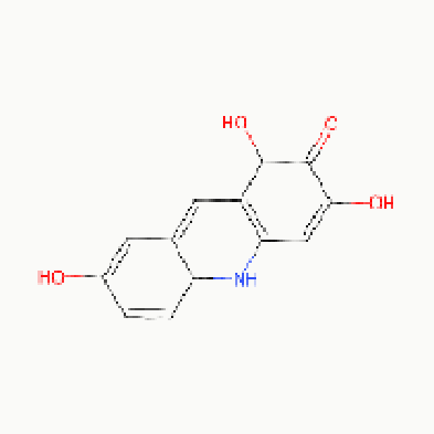 O=C1C(O)=CC2=C(C=C3C=C(O)C=CC3N2)C1O